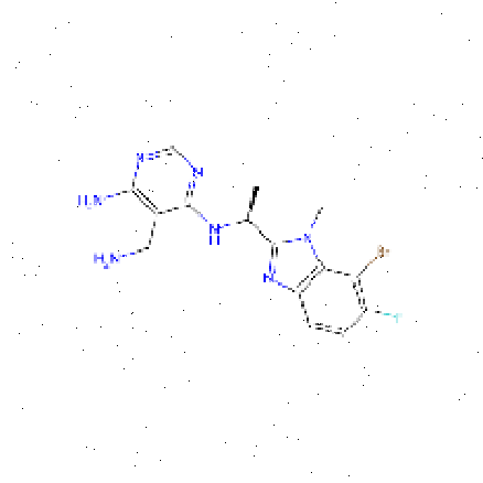 C[C@H](Nc1ncnc(N)c1CN)c1nc2ccc(F)c(Br)c2n1C